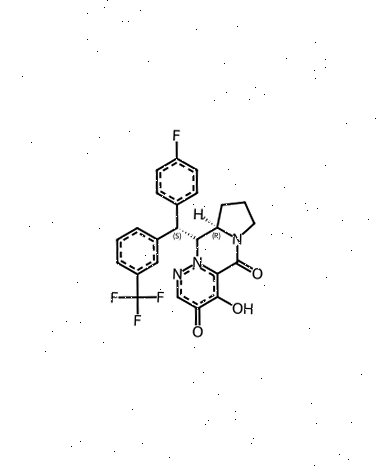 O=C1c2c(O)c(=O)cnn2C([C@@H](c2ccc(F)cc2)c2cccc(C(F)(F)F)c2)[C@H]2CCCN12